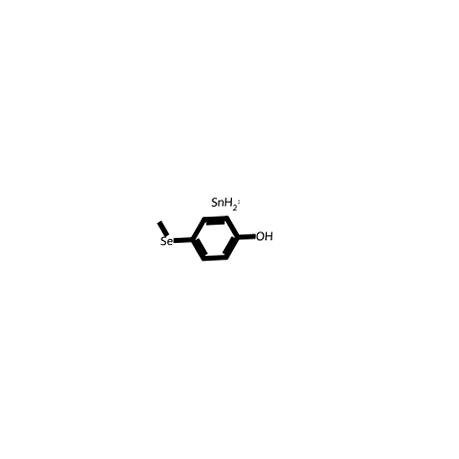 C[Se]c1ccc(O)cc1.[SnH2]